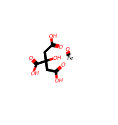 O=C(O)CC(O)(CC(=O)O)C(=O)O.[O]=[Fe]